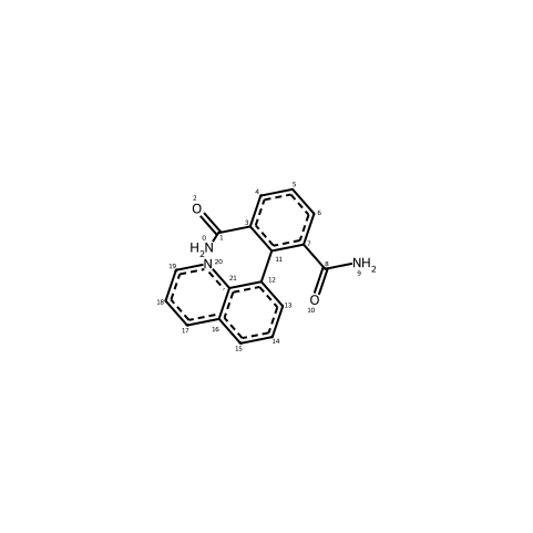 NC(=O)c1cccc(C(N)=O)c1-c1cccc2cccnc12